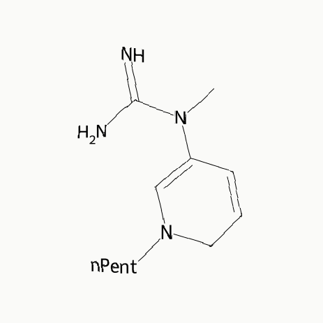 CCCCCN1C=C(N(C)C(=N)N)C=CC1